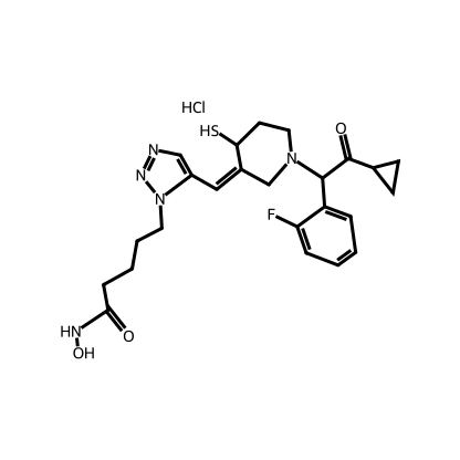 Cl.O=C(CCCCn1nncc1C=C1CN(C(C(=O)C2CC2)c2ccccc2F)CCC1S)NO